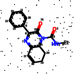 CCNC(=O)n1c2c(nc(-c3ccccc3)c1=O)C=CCC2